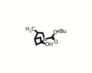 CC1CN(C(=O)OC(C)(C)C)C2(O)CC1C2